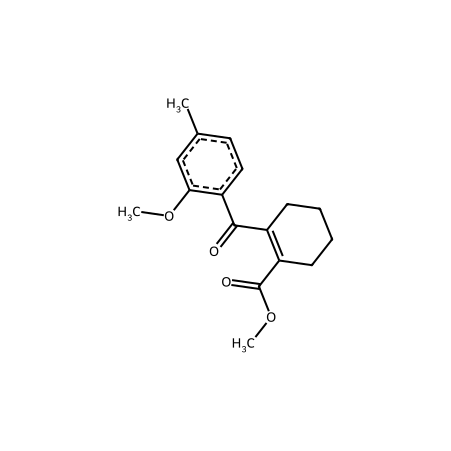 COC(=O)C1=C(C(=O)c2ccc(C)cc2OC)CCCC1